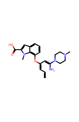 C=C/C=C(\C=C(/N)N1CCN(C)CC1)Oc1cccc2cc(C(=O)O)n(C)c12